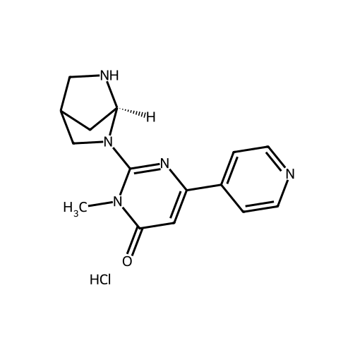 Cl.Cn1c(N2CC3CN[C@@H]2C3)nc(-c2ccncc2)cc1=O